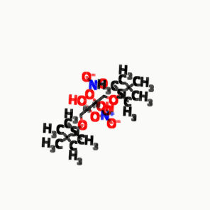 CC(C)(C)[Si](C)(C)OC[C@](O)(O[N+](=O)[O-])[C@](O)(CO[Si](C)(C)C(C)(C)C)O[N+](=O)[O-]